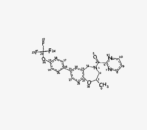 CC1CN(C(=O)c2ncccn2)Cc2cc(-c3ccc(OC(F)(F)F)cc3)ccc2O1